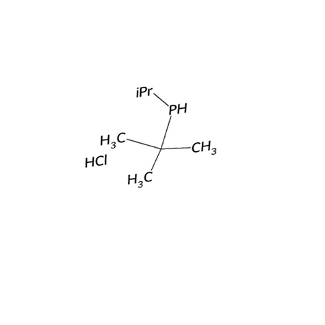 CC(C)PC(C)(C)C.Cl